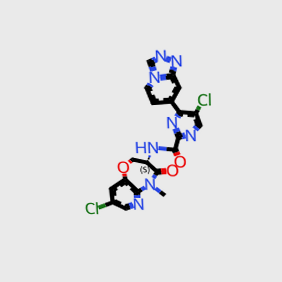 CN1C(=O)[C@@H](NC(=O)c2ncc(Cl)c(-c3ccn4cnnc4c3)n2)COc2cc(Cl)cnc21